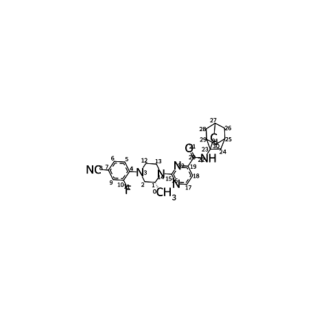 C[C@@H]1CN(c2ccc(C#N)cc2F)CCN1c1nccc(C(=O)NC23CC4CC(CC2C4)C3)n1